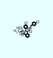 C[C@H](O)[C@H](CO)N1C(=O)c2ccccc2[C@H](C(=O)NOCc2ccc(Cl)cc2)[C@H]1c1ccc(Cl)cc1